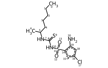 CCCCCC(C)NC(=S)NS(=O)(=O)c1sc(Cl)cc1N